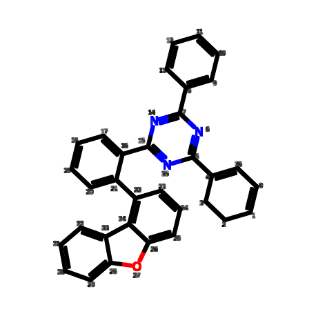 C1=CCCC(c2nc(-c3ccccc3)nc(-c3ccccc3-c3cccc4oc5ccccc5c34)n2)=C1